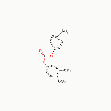 COc1ccc(OC(=O)Oc2ccc([N+](=O)[O-])cc2)cc1OC